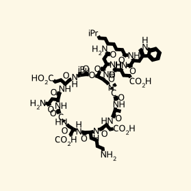 CCC(C)C1NC(=O)C(CCC(=O)O)NC(=O)C(CC(N)=O)NC(=O)CNC(=O)C(CC(=O)O)NC(=O)C(CCCCN)NC(=O)C(CC(=O)O)NC(=O)C(C)NC(=O)CN(C)C(=O)C(NC(=O)C(CC(N)=O)NC(=O)C(CCC(=O)O)NC(=O)C(Cc2c[nH]c3ccccc23)NC(=O)CCCCCCC(C)C)C(C)OC1=O